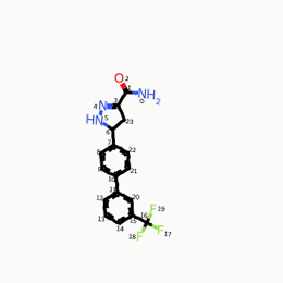 NC(=O)C1=NNC(c2ccc(-c3cccc(C(F)(F)F)c3)cc2)C1